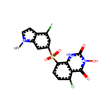 CCCn1ccc2c(F)cc(S(=O)(=O)c3ccc(Cl)c4c(=O)n(O)c(=O)[nH]c34)cc21